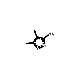 Cc1snc(N)c1C